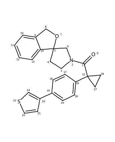 O=C(N1CCC2(C1)OCc1ccccc12)C1(c2ccc(-c3ccsc3)cc2)CC1